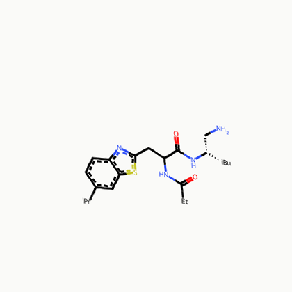 CCC(=O)NC(Cc1nc2ccc(C(C)C)cc2s1)C(=O)N[C@H](CN)[C@@H](C)CC